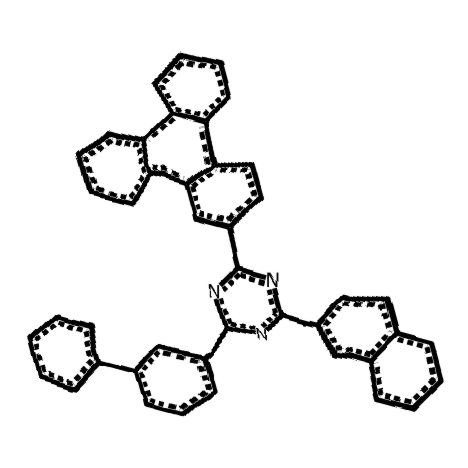 c1ccc(-c2cccc(-c3nc(-c4ccc5ccccc5c4)nc(-c4ccc5c6ccccc6c6ccccc6c5c4)n3)c2)cc1